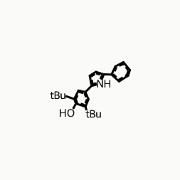 CC(C)(C)c1cc(-c2ccc(-c3ccccc3)[nH]2)cc(C(C)(C)C)c1O